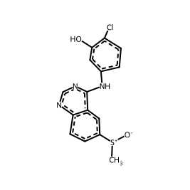 C[S+]([O-])c1ccc2ncnc(Nc3ccc(Cl)c(O)c3)c2c1